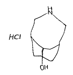 Cl.OC1C2CCC1CNC2